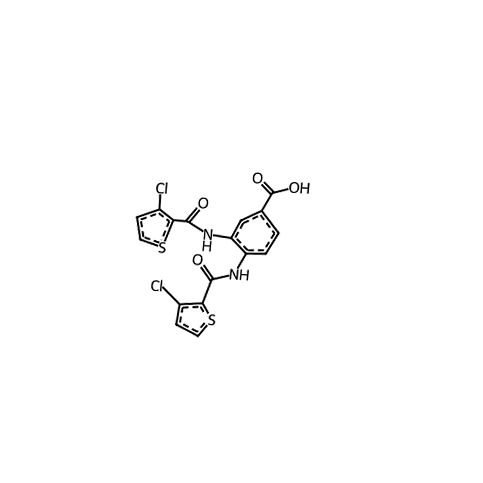 O=C(O)c1ccc(NC(=O)c2sccc2Cl)c(NC(=O)c2sccc2Cl)c1